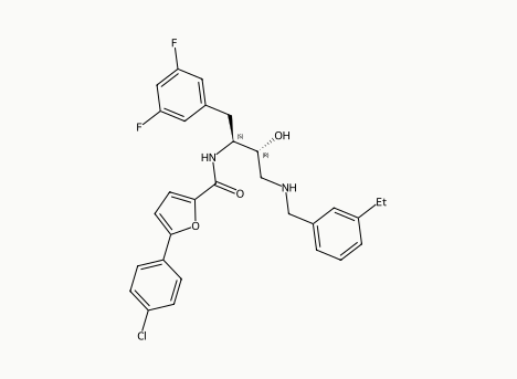 CCc1cccc(CNC[C@@H](O)[C@H](Cc2cc(F)cc(F)c2)NC(=O)c2ccc(-c3ccc(Cl)cc3)o2)c1